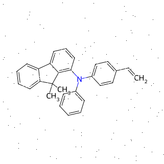 C=Cc1ccc(N(c2ccccc2)c2cccc3c2C(C)(C)c2ccccc2-3)cc1